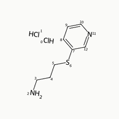 Cl.Cl.NCCCSc1cccnc1